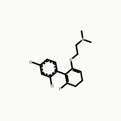 CN(C)CCOC1=CC[CH]C(F)=C1c1ccc(Cl)cc1Cl